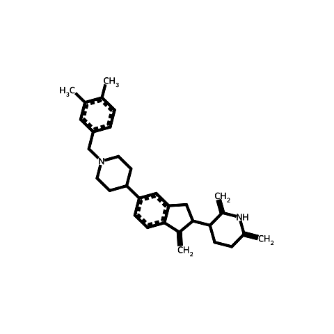 C=C1CCC(C2Cc3cc(C4CCN(Cc5ccc(C)c(C)c5)CC4)ccc3C2=C)C(=C)N1